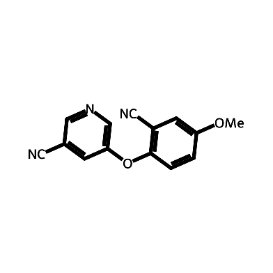 COc1ccc(Oc2cncc(C#N)c2)c(C#N)c1